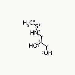 CSNCC(O)CO